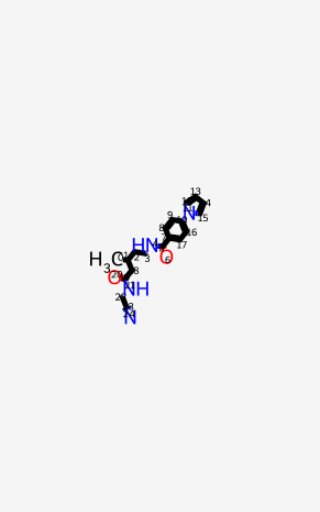 CC(CCNC(=O)c1ccc(-n2cccc2)cc1)CC(=O)NCC#N